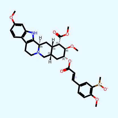 COC(=O)[C@H]1[C@H]2C[C@@H]3c4[nH]c5cc(OC)ccc5c4CCN3C[C@H]2C[C@@H](OC(=O)/C=C/c2ccc(OC)c([S+](C)[O-])c2)[C@@H]1OC